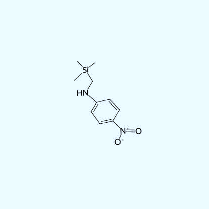 C[Si](C)(C)CNc1ccc([N+](=O)[O-])cc1